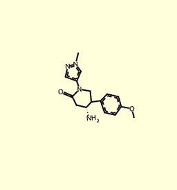 COc1ccc(C2CN(c3cnn(C)c3)C(=O)C[C@H]2N)cc1